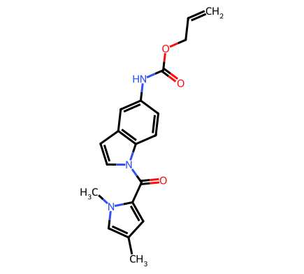 C=CCOC(=O)Nc1ccc2c(ccn2C(=O)c2cc(C)cn2C)c1